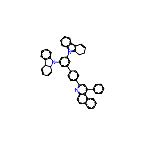 C1=CC2c3ccccc3N(c3cc(-c4ccc(-c5cc(-c6ccccc6)c6c(ccc7ccccc76)n5)cc4)cc(-n4c5c(c6ccccc64)C=CCC5)c3)C2C=C1